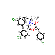 CCC[C@@H](C(=O)O)N1C(=O)[C@@H](Cc2ccc(Cl)cc2)O[C@H](c2ccc(Cl)cc2)[C@@H]1c1ccc(Cl)cc1